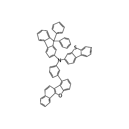 c1ccc(C2(c3ccccc3)c3ccccc3-c3ccc(N(c4cccc(-c5cccc6oc7c8ccccc8ccc7c56)c4)c4ccc5c(c4)sc4ccccc45)cc32)cc1